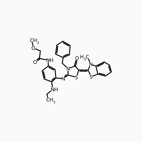 CCNc1ccc(NC(=O)COC)cc1N=C1S/C(=C2\Sc3ccccc3N2C)C(=O)N1Cc1ccccc1